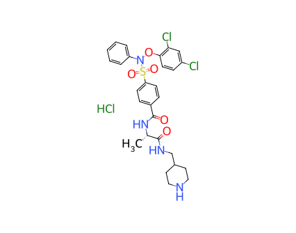 C[C@H](NC(=O)c1ccc(S(=O)(=O)N(Oc2ccc(Cl)cc2Cl)c2ccccc2)cc1)C(=O)NCC1CCNCC1.Cl